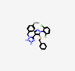 COc1ccc(CN2NNN=C2c2cnn(-c3c(Cl)cccc3Cl)c2SCc2ccccc2)cc1